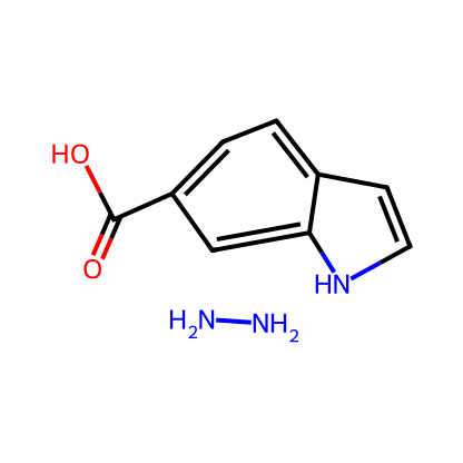 NN.O=C(O)c1ccc2cc[nH]c2c1